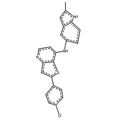 Cc1cc2cc(Nc3ccnc4cc(-c5cc[n+]([O-])cc5)sc34)ccc2[nH]1